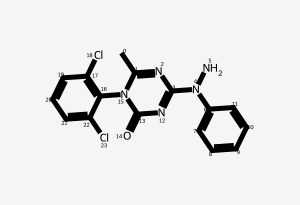 Cc1nc(N(N)c2ccccc2)nc(=O)n1-c1c(Cl)cccc1Cl